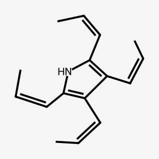 C/C=C\c1[nH]c(/C=C\C)c(/C=C\C)c1/C=C\C